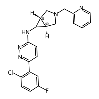 Fc1ccc(Cl)c(-c2ccc(NC3[C@@H]4CN(Cc5ccccn5)C[C@@H]34)nn2)c1